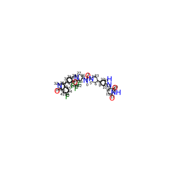 CN(C(=O)N1CCC(c2ccc(NC3CCC(=O)NC3=O)cc2)CC1)C1CCN(Cc2ccc(-c3cn(C)c(=O)c4cc(F)ccc34)cc2OC(F)(F)F)CC1